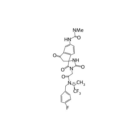 CNC(=O)Nc1ccc2c(c1)C(=O)CC21NC(=O)N(CC(=O)N(Cc2ccc(F)cc2)[C@@H](C)C(F)(F)F)C1=O